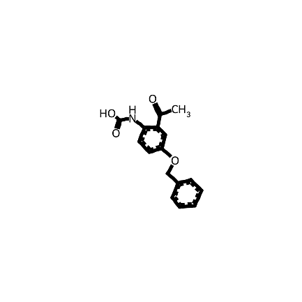 CC(=O)c1cc(OCc2ccccc2)ccc1NC(=O)O